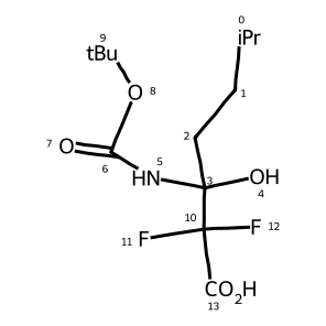 CC(C)CCC(O)(NC(=O)OC(C)(C)C)C(F)(F)C(=O)O